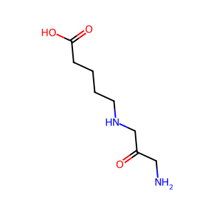 NCC(=O)CNCCCCC(=O)O